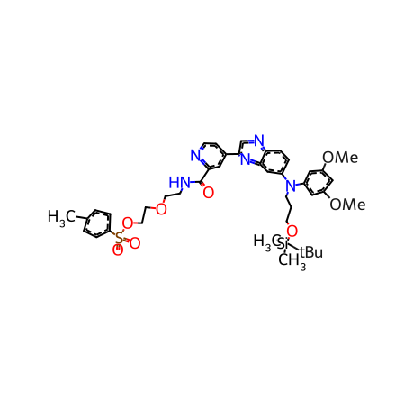 COc1cc(OC)cc(N(CCCO[Si](C)(C)C(C)(C)C)c2ccc3ncc(-c4ccnc(C(=O)NCCOCCOS(=O)(=O)c5ccc(C)cc5)c4)nc3c2)c1